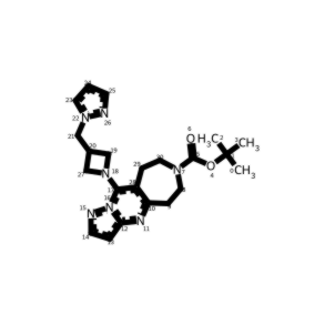 CC(C)(C)OC(=O)N1CCc2nc3ccnn3c(N3CC(Cn4cccn4)C3)c2CC1